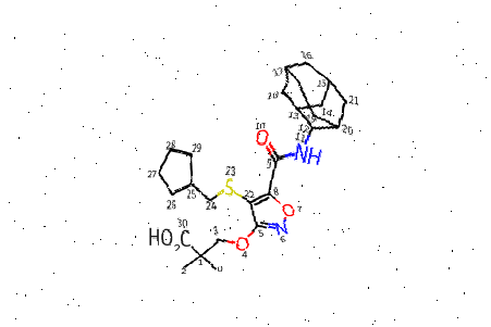 CC(C)(COc1noc(C(=O)NC2C3CC4CC(C3)CC2C4)c1SCC1CCCC1)C(=O)O